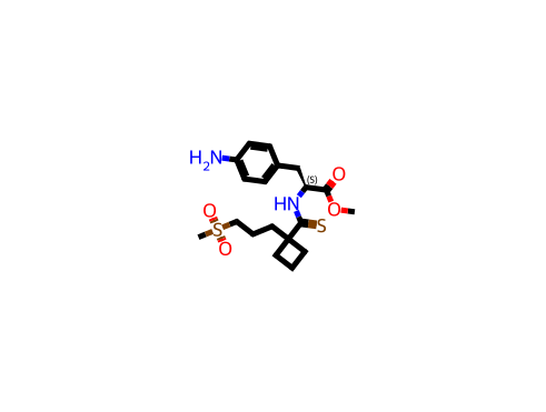 COC(=O)[C@H](Cc1ccc(N)cc1)NC(=S)C1(CCCS(C)(=O)=O)CCC1